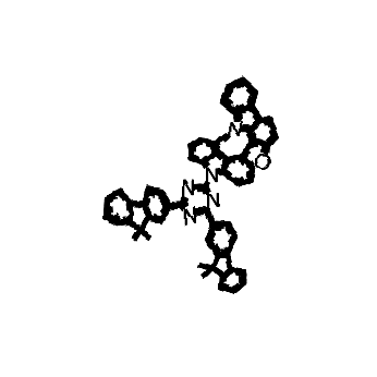 CC1(C)c2ccccc2-c2ccc(-c3nc(-c4ccc5c(c4)C(C)(C)c4ccccc4-5)nc(-n4c5ccc6oc7ccc8c9ccccc9n9c%10cccc4c%10c5c6c7c89)n3)cc21